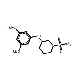 COc1cc(N[C@@H]2CCCN(S(=O)(=O)C(F)(F)F)C2)cc(OC)c1